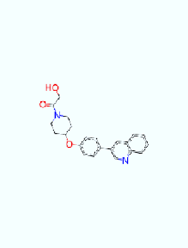 O=C(CO)N1CCC(Oc2ccc(-c3cnc4ccccc4c3)cc2)CC1